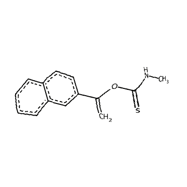 C=C(OC(=S)NC)c1ccc2ccccc2c1